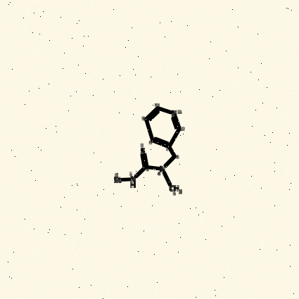 CCNC(=S)N(C)Cc1cccnc1